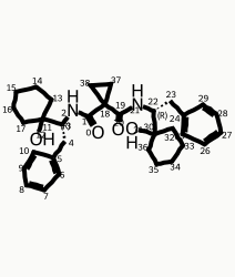 O=C(N[C@H](Cc1ccccc1)C1(O)CCCCC1)C1(C(=O)N[C@H](Cc2ccccc2)C2(O)CCCCC2)CC1